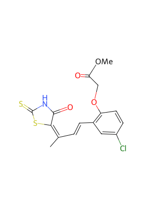 COC(=O)COc1ccc(Cl)cc1C=CC(C)=C1SC(=S)NC1=O